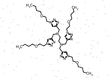 CCCCOCCn1cc(CN(CCN(Cc2cn(CCOCCCC)nn2)Cc2cn(CCOCCCC)nn2)Cc2cn(CCOCCCC)nn2)nn1